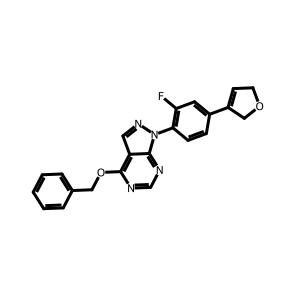 Fc1cc(C2=CCOC2)ccc1-n1ncc2c(OCc3ccccc3)ncnc21